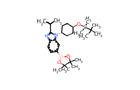 CC(C)c1nc2ccc(B3OC(C)(C)C(C)(C)O3)cc2n1[C@H]1CC[C@H](O[Si](C)(C)C(C)(C)C)CC1